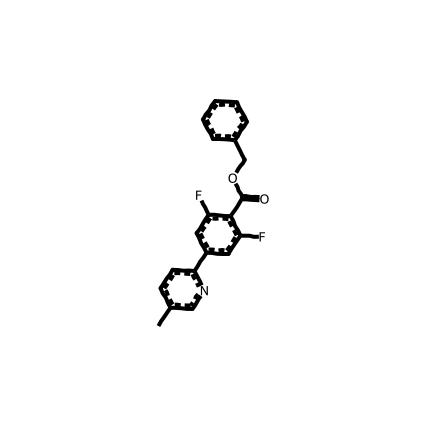 Cc1ccc(-c2cc(F)c(C(=O)OCc3ccccc3)c(F)c2)nc1